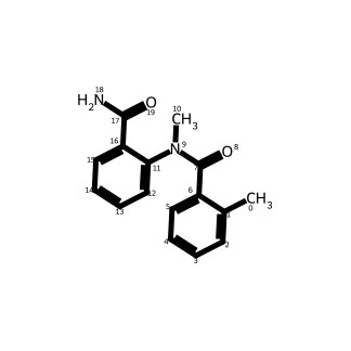 Cc1ccccc1C(=O)N(C)c1ccccc1C(N)=O